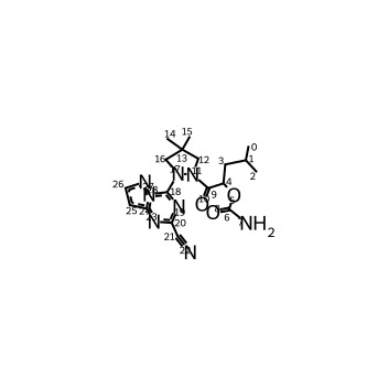 CC(C)CC(OC(N)=O)C(=O)N1CC(C)(C)CN1c1nc(C#N)nc2ccnn12